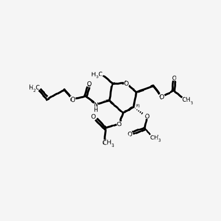 C=CCOC(=O)NC1C(C)OC(COC(C)=O)[C@H](OC(C)=O)C1OC(C)=O